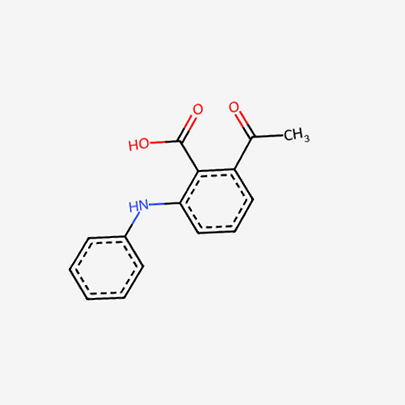 CC(=O)c1cccc(Nc2ccccc2)c1C(=O)O